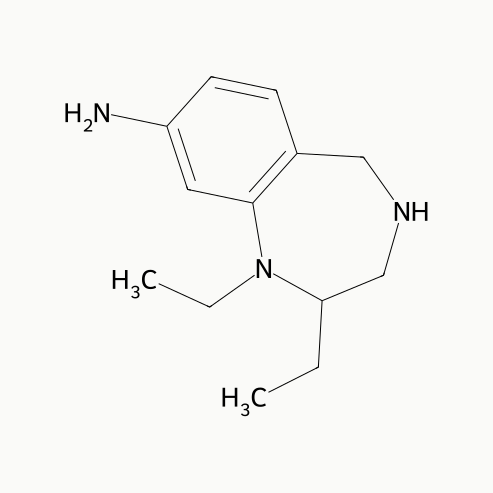 CCC1CNCc2ccc(N)cc2N1CC